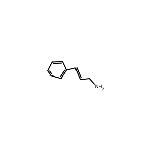 NCC=Cc1c[c]ccc1